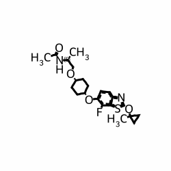 CC(=O)N[C@@H](C)CO[C@H]1CC[C@H](Oc2ccc3nc(OC4(C)CC4)sc3c2F)CC1